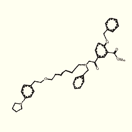 COC(=O)c1cc(C(=O)CN(CCCCCCOCCc2ccc(N3CCCC3)cc2)Cc2ccccc2)ccc1OCc1ccccc1